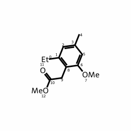 CCc1cc(C)cc(OC)c1CC(=O)OC